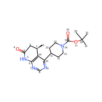 C[C@@H]1CC(=O)Nc2ncnc(C3CCN(C(=O)OC(C)(C)C)CC3)c21